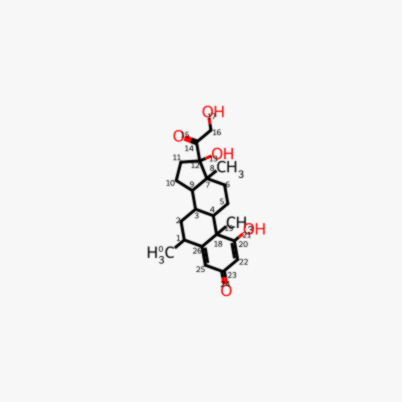 CC1CC2C(CCC3(C)C2CCC3(O)C(=O)CO)C2(C)C(O)=CC(=O)C=C12